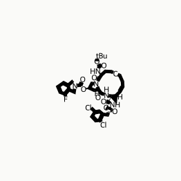 CC(C)(C)OC(=O)N[C@H]1CCCCC/C=C\[C@@H]2C[C@@]2(C(=O)NS(=O)(=O)Cc2cc(Cl)ccc2Cl)NC(=O)[C@@H]2C[C@@H](OC(=O)N3Cc4cccc(F)c4C3)CN2C1=O